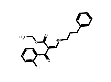 CCOC(=O)C(=CNCCCc1ccccc1)C(=O)c1ccccc1Cl